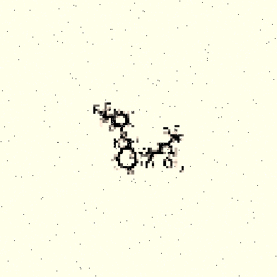 Cn1nc(C(F)(F)F)cc1C(=O)N[C@H]1CCCCc2nn(-c3ccnc(C(F)(F)F)c3)cc21